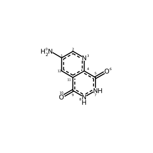 Nc1cnc2c(=O)[nH][nH]c(=O)c2c1